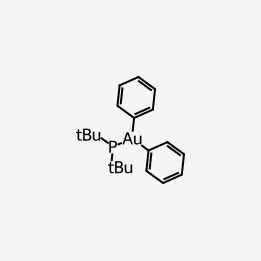 CC(C)(C)[P]([Au]([c]1ccccc1)[c]1ccccc1)C(C)(C)C